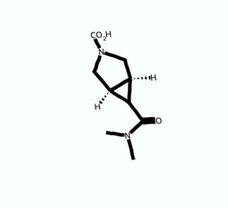 CN(C)C(=O)C1[C@H]2CN(C(=O)O)C[C@@H]12